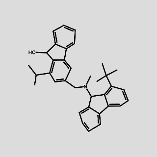 CC(C)c1cc(CN(C)C2c3ccccc3-c3cccc(C(C)(C)C)c32)cc2c1C(O)c1ccccc1-2